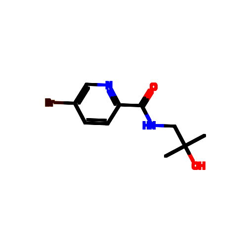 CC(C)(O)CNC(=O)c1ccc(Br)cn1